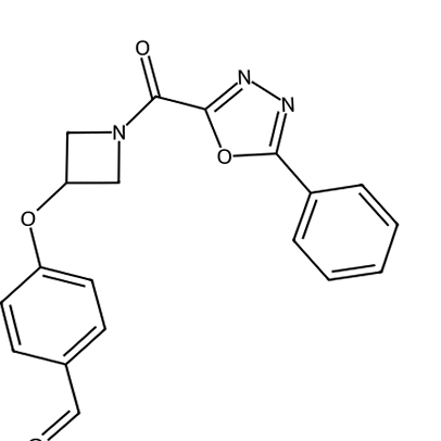 O=Cc1ccc(OC2CN(C(=O)c3nnc(-c4ccccc4)o3)C2)cc1